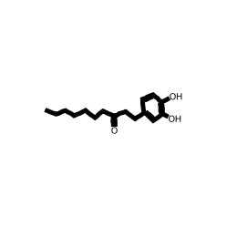 CCCCCCCC(=O)CCc1ccc(O)c(O)c1